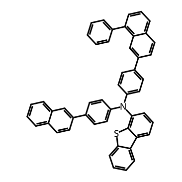 c1ccc(-c2cccc3ccc(-c4ccc(N(c5ccc(-c6ccc7ccccc7c6)cc5)c5cccc6c5sc5ccccc56)cc4)cc23)cc1